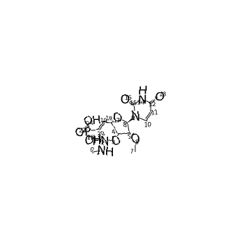 CNNOC1C(OC)[C@H](n2ccc(=O)[nH]c2=O)O[C@@H]1/C=C/P(=O)(O)O